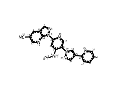 CC(C)Nc1cc(-n2ncc3cc(C#N)cnc32)ncc1-n1cc(-c2ccccn2)cn1